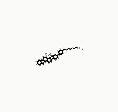 CCCCCCCCc1ccc(-c2ccc3c4ccc5c(ccc6c7ccccc7sc65)c4n(C)c3c2)cc1